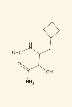 NC(=O)C(O)C(CC1CCC1)NC=O